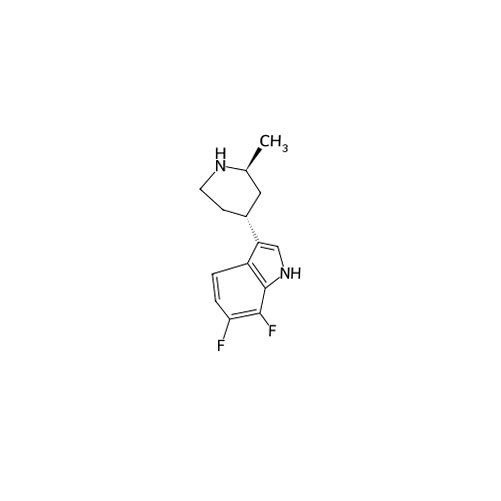 C[C@H]1C[C@H](c2c[nH]c3c(F)c(F)ccc23)CCN1